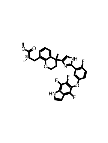 COC(=O)[C@@H](C)Cc1cccc2c1OCCC2(C)c1c[nH]c(-c2cc(Oc3c(F)c(F)c4[nH]ccc4c3F)ccc2F)n1